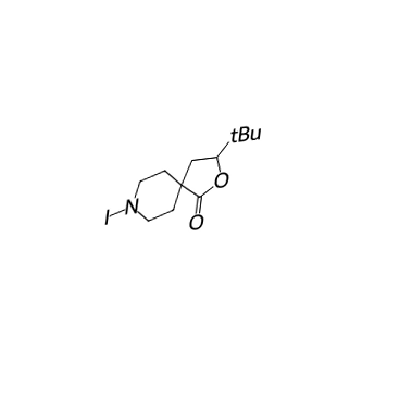 CC(C)(C)C1CC2(CCN(I)CC2)C(=O)O1